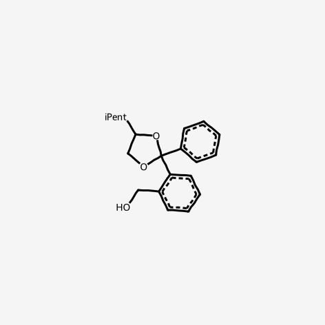 CCCC(C)C1COC(c2ccccc2)(c2ccccc2CO)O1